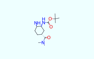 CN(C)C(=O)[C@@H]1CC[C@@H](N)[C@H](NC(=O)OC(C)(C)C)C1